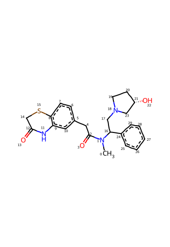 CN(C(=O)Cc1ccc2c(c1)NC(=O)CS2)C(CN1CC[C@H](O)C1)c1ccccc1